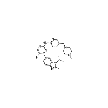 CC(C)c1c2cc(-c3nc(Nc4ccc(CN5CCN(C)CC5)cn4)ncc3F)ccc2nn1C